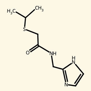 CC(C)SCC(=O)NCc1ncc[nH]1